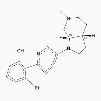 CCc1cccc(O)c1-c1ccc(N2CC[C@H]3CCN(C)C[C@H]32)nn1